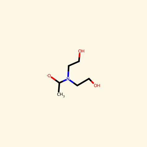 CC([O])N(CCO)CCO